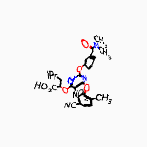 Cc1ccc(C#N)cc1Oc1nc(Oc2cccc(C(=O)N(C)C)c2)nc(OC(CC(C)C)C(=O)O)c1[N+](=O)[O-]